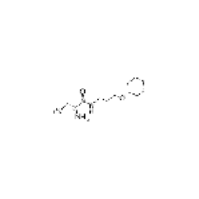 N[C@@H](CO)C(=O)NCCCOC1CCCCC1